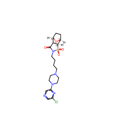 O=C1C2[C@H]3CC[C@H](O3)[C@H]2S(=O)(=O)N1CCCCN1CCN(c2cncc(Cl)n2)CC1